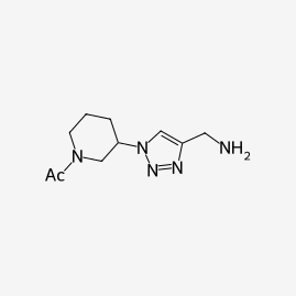 CC(=O)N1CCCC(n2cc(CN)nn2)C1